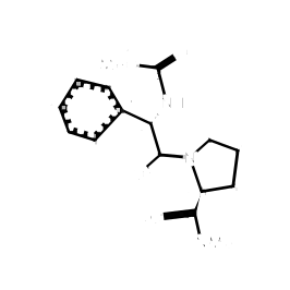 CNC(=O)[C@@H]1CCCN1C(O)[C@@H](NC(=O)OC)c1ccccc1